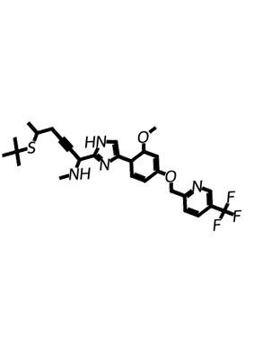 CNC(C#CCC(C)SC(C)(C)C)c1nc(C2C=CC(OCc3ccc(C(F)(F)F)cn3)=CC2OC)c[nH]1